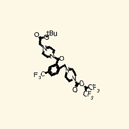 CC(C)(C)OC(=O)CN1CCN(C(=O)c2cc(C(F)(F)F)ccc2CN2CCN(C(=O)OC(C(F)(F)F)C(F)(F)F)CC2)CC1